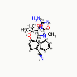 CC1(C)Oc2ccc(C#N)cc2[C@H]([N+](C)(c2ccccc2)c2nc(N)no2)[C@H]1O